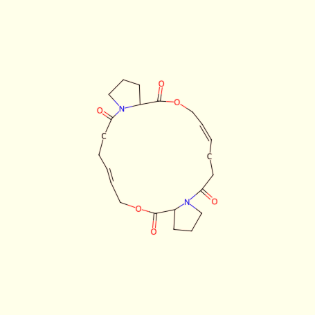 O=C1OCC=CCCC(=O)N2CCCC2C(=O)OCC=CCCC(=O)N2CCCC12